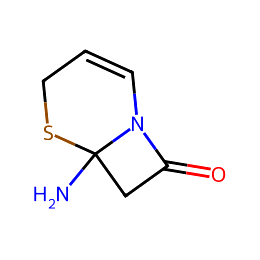 NC12CC(=O)N1C=CCS2